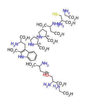 CC(C)CC(N)C(=O)O.NC(CC(=O)O)C(=O)O.NC(CO)C(=O)O.NC(CS)C(=O)O.NC(Cc1c(C(=O)O)[nH]c2ccccc12)C(=O)O.NCC(=O)O.NCC(=O)O.O=C(O)[C@@H]1CCCN1.O=C(O)[C@@H]1CCCN1